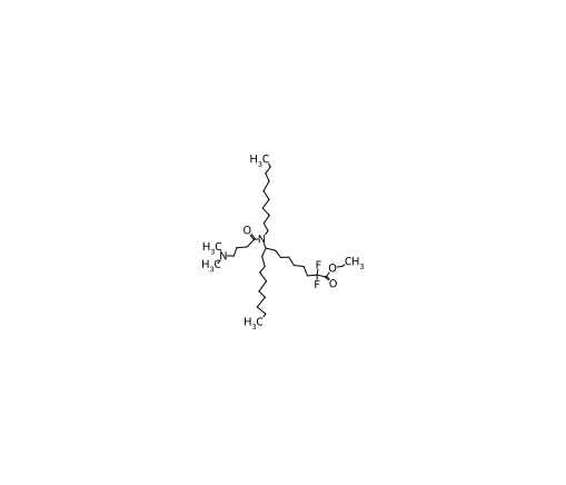 CCCCCCCCCCN(C(=O)CCCN(C)C)C(CCCCCCCCC)CCCCCCC(F)(F)C(=O)OCC